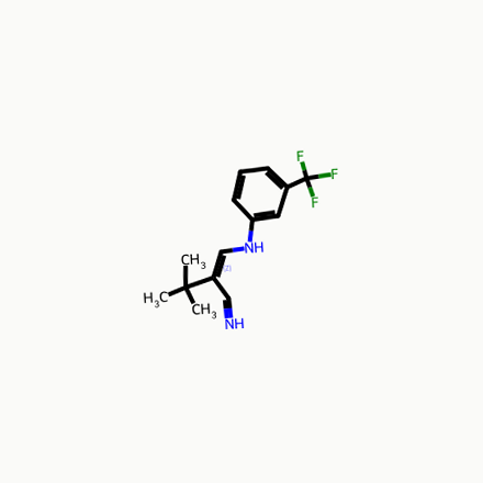 CC(C)(C)/C(C=N)=C/Nc1cccc(C(F)(F)F)c1